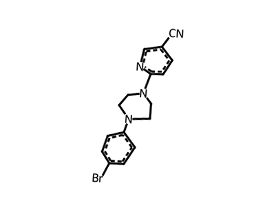 N#Cc1ccc(N2CCN(c3ccc(Br)cc3)CC2)nc1